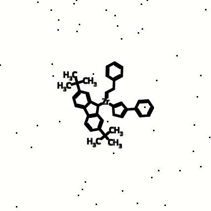 CC(C)(C)c1ccc2c(c1)[CH]([Zr](=[CH]Cc1ccccc1)[C]1=CC(c3ccccc3)=CC1)c1cc(C(C)(C)C)ccc1-2